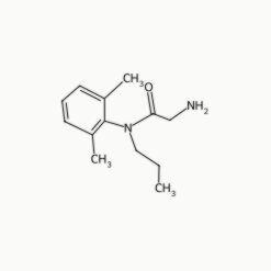 CCCN(C(=O)CN)c1c(C)cccc1C